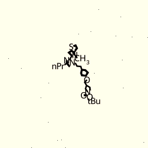 CCCc1cn(CCCc2ccc(OCC3CCN(C(=O)OC(C)(C)C)C3)cc2)c(-c2cc3sccc3n2C)n1